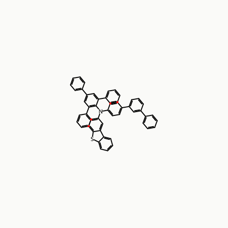 c1ccc(-c2cccc(-c3ccc(N(c4ccc5sc6ccccc6c5c4)c4c(-c5ccccc5)cc(-c5ccccc5)cc4-c4ccccc4)cc3)c2)cc1